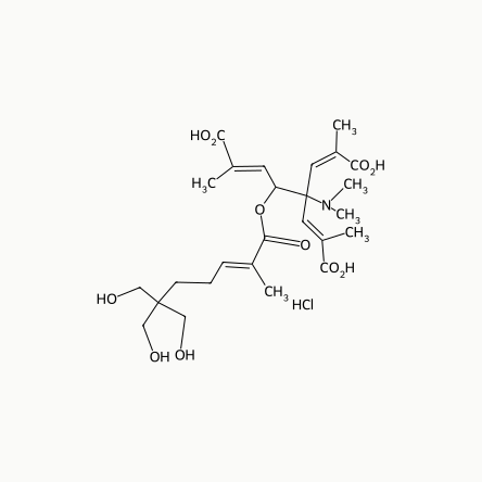 CC(=CC(OC(=O)C(C)=CCCC(CO)(CO)CO)C(C=C(C)C(=O)O)(C=C(C)C(=O)O)N(C)C)C(=O)O.Cl